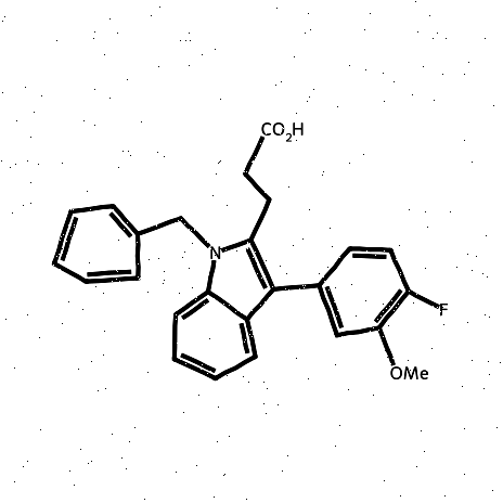 COc1cc(-c2c(CCC(=O)O)n(Cc3ccccc3)c3ccccc23)ccc1F